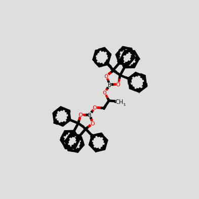 CC(COB1OC(c2ccccc2)(c2ccccc2)C(c2ccccc2)(c2ccccc2)O1)OB1OC(c2ccccc2)(c2ccccc2)C(c2ccccc2)(c2ccccc2)O1